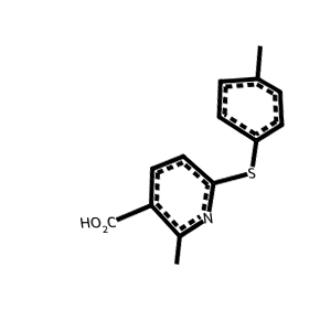 Cc1ccc(Sc2ccc(C(=O)O)c(C)n2)cc1